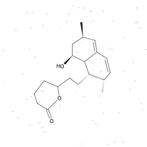 C[C@H]1C=C2C=C[C@H](C)[C@H](CCC3CCCC(=O)O3)C2[C@@H](O)C1